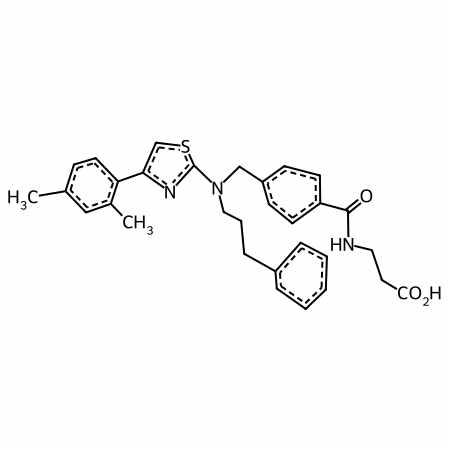 Cc1ccc(-c2csc(N(CCCc3ccccc3)Cc3ccc(C(=O)NCCC(=O)O)cc3)n2)c(C)c1